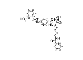 O=C(NC(CCCCNC(=O)c1ccccn1)C(=O)NO)c1ccc(NN=Cc2ccccc2S(=O)(=O)O)nc1